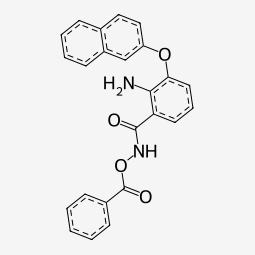 Nc1c(Oc2ccc3ccccc3c2)cccc1C(=O)NOC(=O)c1ccccc1